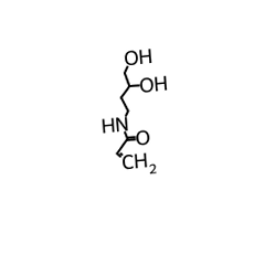 C=CC(=O)NCCC(O)CO